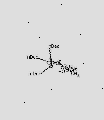 CCCCCCCCCCCCCCCCCCOc1cc(COC(=O)CCC(=O)O[C@H]2C[C@H](n3cc(C)c(=O)[nH]c3=O)O[C@@H]2CO)cc(OCCCCCCCCCCCCCCCCCC)c1OCCCCCCCCCCCCCCCCCC